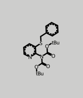 CC(C)(C)OC(=O)N(C(=O)OC(C)(C)C)c1ncccc1SCc1ccccc1